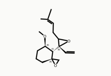 C=C[C@]1([C@H]2[C@H](OC)CCC[C@]23CO3)OC1CC=C(C)C